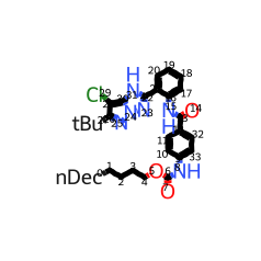 CCCCCCCCCCCCCCOC(=O)Nc1ccc(C(=O)Nc2ccccc2-c2nn3nc(C(C)(C)C)c(Cl)c3[nH]2)cc1